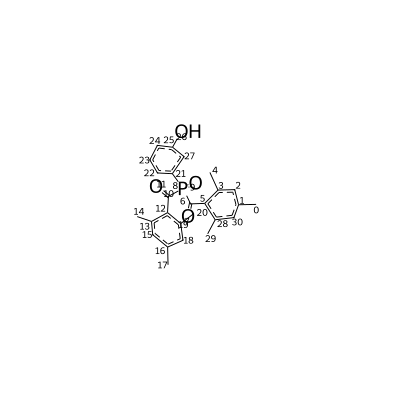 Cc1cc(C)c(C(=O)P(=O)(C(=O)c2c(C)cc(C)cc2C)c2cccc(O)c2)c(C)c1